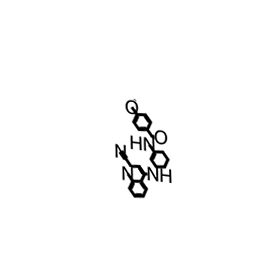 COc1ccc(C(=O)NC2=C[C@@H](Nc3cc(C#N)nc4ccccc34)CCC2)cc1